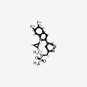 CN(Cc1cc(-c2cc3cc(F)c(F)cc3n2C2CC2)cnn1)S(C)(=O)=O